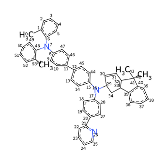 Cc1ccccc1N(c1ccc(-c2ccc(N(c3ccc(-c4ccccn4)cc3)C3C=CC4=C(C3)c3ccccc3C4(C)C)cc2)cc1)c1ccccc1C